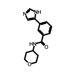 O=C(NC1CCOCC1)c1cccc(-c2cnc[nH]2)c1